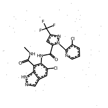 CNC(=O)c1c(NC(=O)c2cc(C(F)(F)F)nn2-c2ncccc2Cl)c(Cl)cc2cn[nH]c12